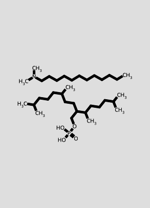 CC(C)CCCC(C)CCC(COP(=O)(O)O)C(C)CCCC(C)C.CCCCCCCCCCCCN(C)C